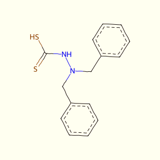 S=C(S)NN(Cc1ccccc1)Cc1ccccc1